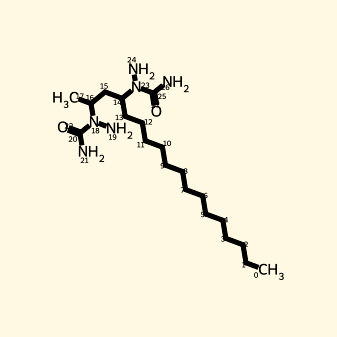 CCCCCCCCCCCCCCC(CC(C)N(N)C(N)=O)N(N)C(N)=O